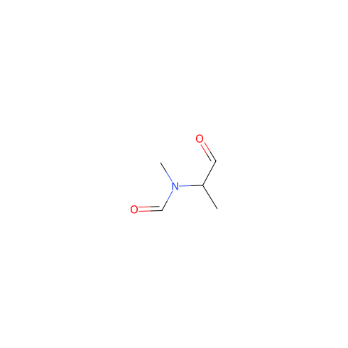 CC(C=O)N(C)C=O